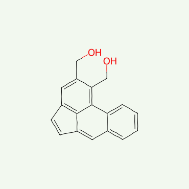 OCc1cc2c3c(cc4ccccc4c3c1CO)C=C2